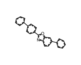 c1ccc(-c2ccc(-c3nc4ccc(-c5ccccc5)cc4o3)cc2)cc1